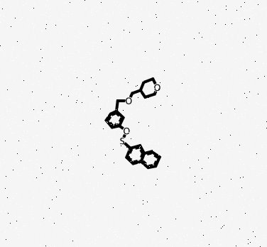 c1cc(COCC2CCOCC2)cc(OSc2ccc3ccccc3c2)c1